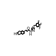 O=C(/C=C/c1ccc2c(c1)CCNC2)Nc1cn(Cc2cc(F)c(F)c(F)c2)cn1